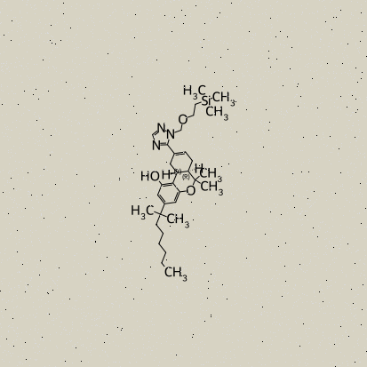 CCCCCCC(C)(C)c1cc(O)c2c(c1)OC(C)(C)[C@@H]1CC=C(c3ncnn3COCC[Si](C)(C)C)C[C@@H]21